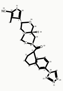 Cc1c([C@H]2CN3CCN(C(=O)C4CCCc5cc(-n6cnnn6)ccc54)C[C@H]3CO2)csc1C#N